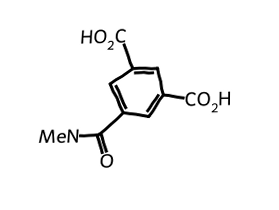 CNC(=O)c1cc(C(=O)O)cc(C(=O)O)c1